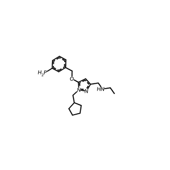 CCNCc1cc(OCc2cccc(P)c2)n(CC2CCCC2)n1